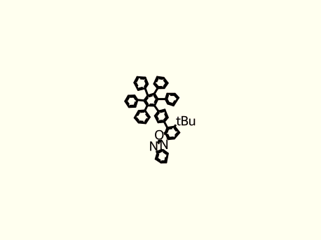 CC(C)(C)c1ccc2c(oc3nc4ccccc4n32)c1-c1ccc(-c2c(-c3ccccc3)c(-c3ccccc3)c(-c3ccccc3)c(-c3ccccc3)c2-c2ccccc2)cc1